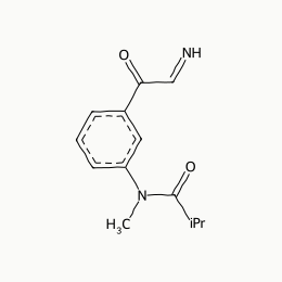 CC(C)C(=O)N(C)c1cccc(C(=O)C=N)c1